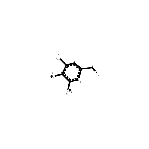 N#Cc1c(Cl)cc(CF)nc1C(F)(F)F